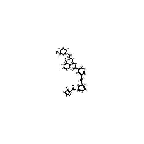 Cc1ccoc1C(=O)Nc1cccc(C#Cc2cncc(C(=O)N=S(CCCN3CCCC(F)(F)C3)c3ccccc3O)c2)c1